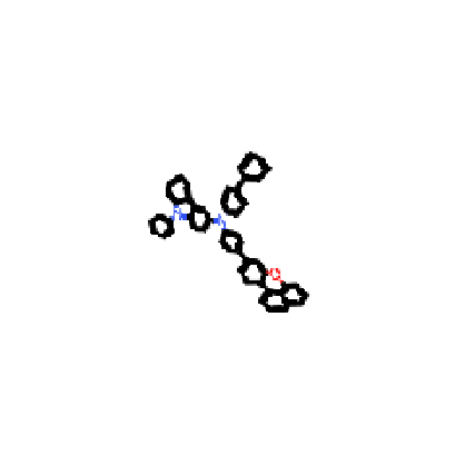 c1ccc(-c2ccc(N(c3ccc(-c4ccc5c(c4)Oc4cccc6cccc-5c46)cc3)c3ccc4c(c3)c3ccccc3n4-c3ccccc3)cc2)cc1